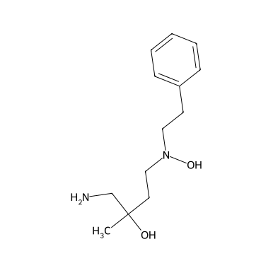 CC(O)(CN)CCN(O)CCc1ccccc1